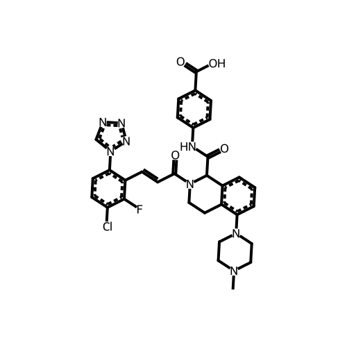 CN1CCN(c2cccc3c2CCN(C(=O)/C=C/c2c(-n4cnnn4)ccc(Cl)c2F)C3C(=O)Nc2ccc(C(=O)O)cc2)CC1